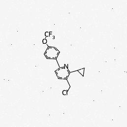 FC(F)(F)Oc1ccc(-c2ccc(CCl)c(C3CC3)n2)cc1